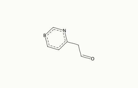 O=CCc1ccbcn1